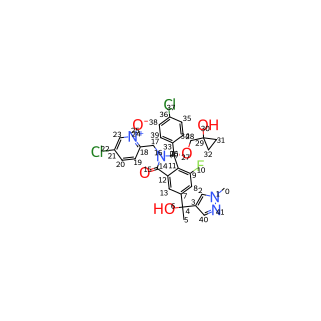 Cn1cc(C(C)(O)c2cc(F)c3c(c2)C(=O)N(Cc2ccc(Cl)c[n+]2[O-])[C@@]3(OCC2(O)CC2)c2ccc(Cl)cc2)cn1